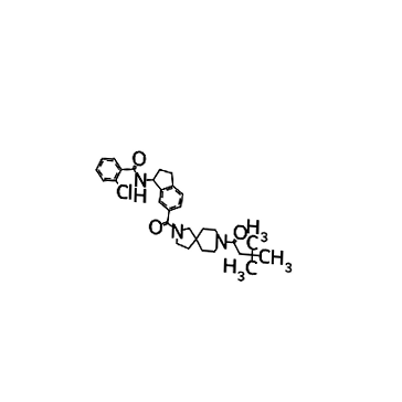 CC(C)(C)CC(=O)N1CCC2(CC1)CCN(C(=O)c1ccc3c(c1)C(NC(=O)c1ccccc1Cl)CC3)C2